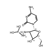 NP(O)O.Nc1ccn([C@@H]2O[C@H](CO)[C@@H](O)C2N)c(=O)n1